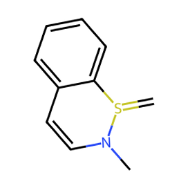 C=S1c2ccccc2C=CN1C